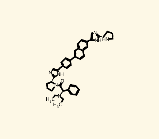 CCN(CC)[C@@H](C(=O)N1CCC[C@H]1c1ncc(-c2ccc(-c3ccc4cc(-c5cnc([C@@H]6CCCN6)[nH]5)ccc4c3)cc2)[nH]1)c1ccccc1